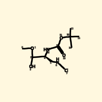 COC(O)[C@H](CNCl)NC(=O)OC(C)(C)C